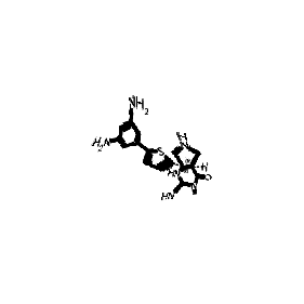 CN1C(=N)N[C@@]2(c3ccc(-c4cc(N)cc(N)c4)s3)CNC[C@H]2C1=O